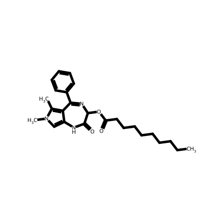 CCCCCCCCCC(=O)OC1N=C(c2ccccc2)c2c(cn(C)c2C)NC1=O